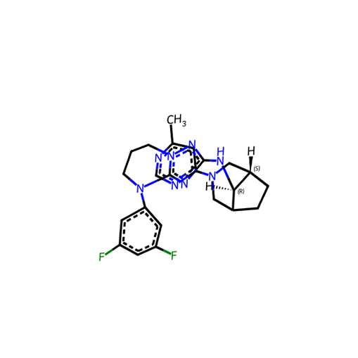 Cc1cc(N2CC3CC[C@@H](C2)[C@@H]3Nc2nc3n(n2)CCCN3c2cc(F)cc(F)c2)ncn1